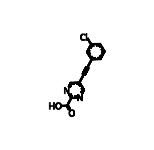 O=C(O)c1ncc(C#Cc2cccc(Cl)c2)cn1